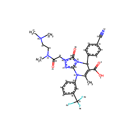 CC1=C(C(=O)O)C(c2ccc(C#N)cc2)n2c(nn(CC(=O)N(C)CCN(C)C)c2=O)N1c1cccc(C(F)(F)F)c1